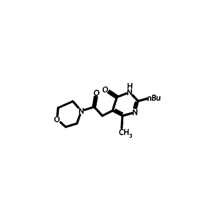 CCCCc1nc(C)c(CC(=O)N2CCOCC2)c(=O)[nH]1